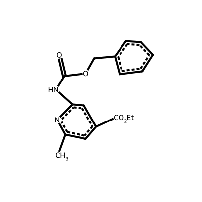 CCOC(=O)c1cc(C)nc(NC(=O)OCc2ccccc2)c1